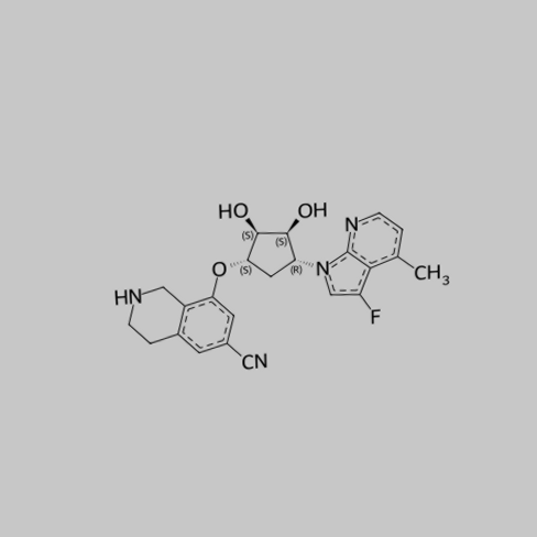 Cc1ccnc2c1c(F)cn2[C@@H]1C[C@H](Oc2cc(C#N)cc3c2CNCC3)[C@@H](O)[C@H]1O